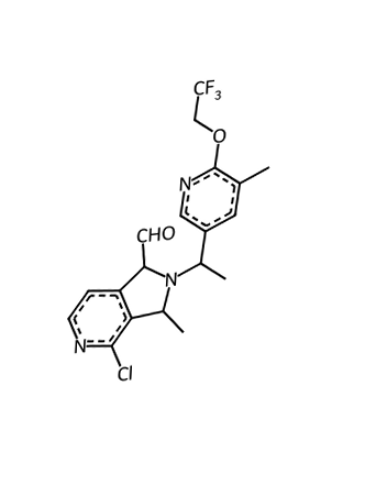 Cc1cc(C(C)N2C(C)c3c(ccnc3Cl)C2C=O)cnc1OCC(F)(F)F